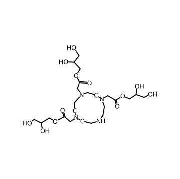 O=C(CN1CCNCCN(CC(=O)OCC(O)CO)CCN(CC(=O)OCC(O)CO)CC1)OCC(O)CO